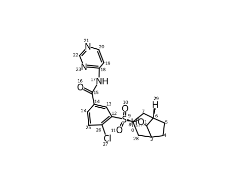 C[C@@]1(O)C2CC[C@H]1C[C@H](S(=O)(=O)c1cc(C(=O)Nc3ccncn3)ccc1Cl)C2